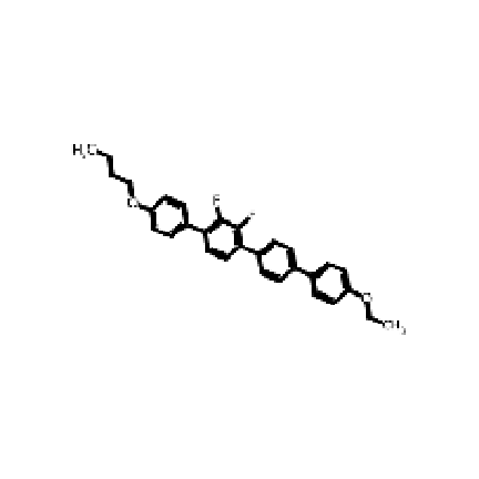 CCCCOc1ccc(-c2ccc(-c3ccc(-c4ccc(OCC)cc4)cc3)c(F)c2F)cc1